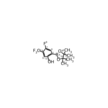 CC1(C)OB(c2cc(F)c(C(F)(F)F)cc2O)OC1(C)C